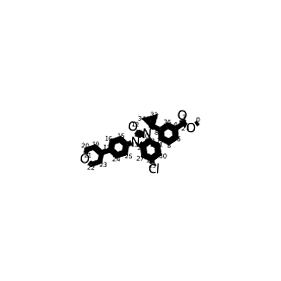 COC(=O)c1cccc(C2(n3c(=O)n(-c4ccc(C5=CCOCC5)cc4)c4cc(Cl)ccc43)CC2)c1